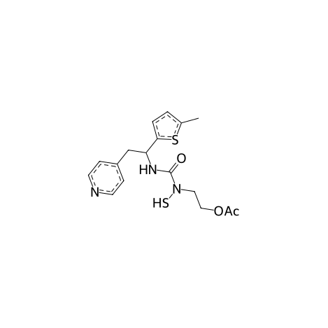 CC(=O)OCCN(S)C(=O)NC(Cc1ccncc1)c1ccc(C)s1